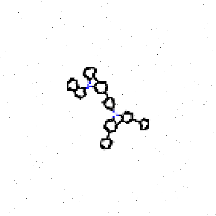 c1ccc(-c2ccc3c(c2)c2cc(-c4ccccc4)ccc2n3-c2ccc(-c3ccc4c5ccccc5n(-c5cccc6ccccc56)c4c3)cc2)cc1